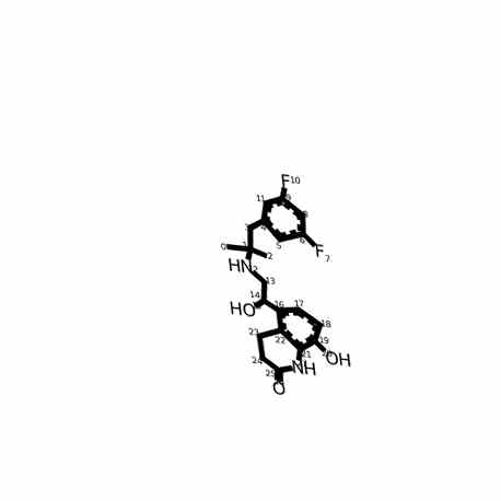 CC(C)(Cc1cc(F)cc(F)c1)NCC(O)c1ccc(O)c2c1CCC(=O)N2